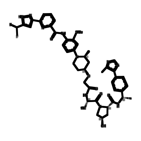 COc1cc(N2CC[C@H](OCC(=O)N[C@H](C(=O)N3C[C@H](O)C[C@H]3C(=O)N[C@@H](C)c3ccc(-c4scnc4C)cc3)C(C)(C)C)C[C@@H]2C)ccc1NC(=O)c1cccc(-c2cc(C(F)F)[nH]n2)n1